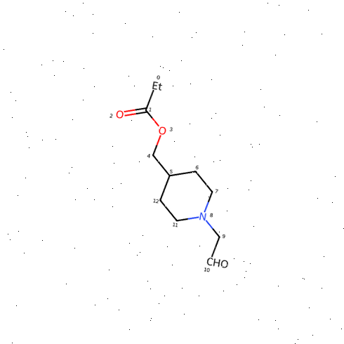 CCC(=O)OCC1CCN(CC=O)CC1